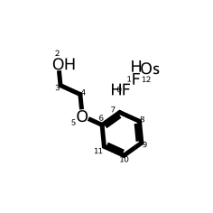 F.F.OCCOc1ccccc1.[Os]